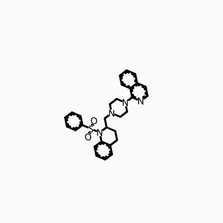 O=S(=O)(c1ccccc1)N1c2ccccc2CCC1CN1CCN(c2nccc3ccccc23)CC1